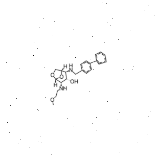 COCCN[C@H]1[C@@H]2OC[C@@H](O2)[C@@H](NCc2ccc(-c3ccccc3)cc2)[C@@H]1O